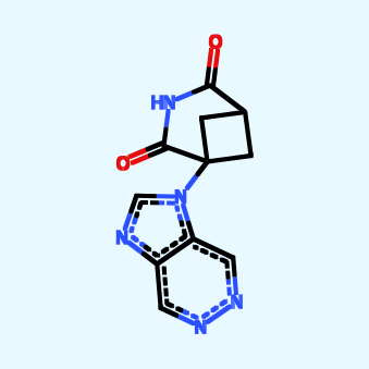 O=C1NC(=O)C2(n3cnc4cnncc43)CC1C2